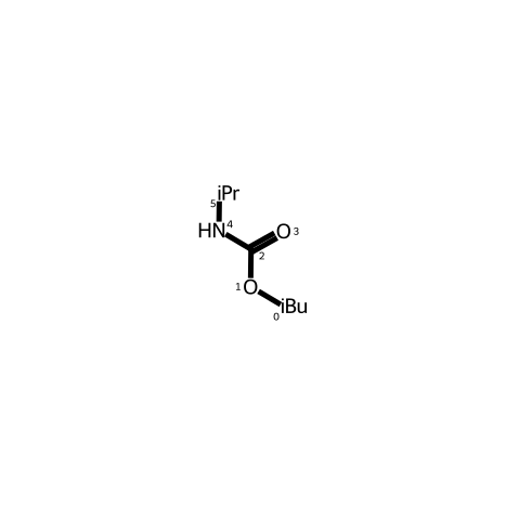 CCC(C)OC(=O)NC(C)C